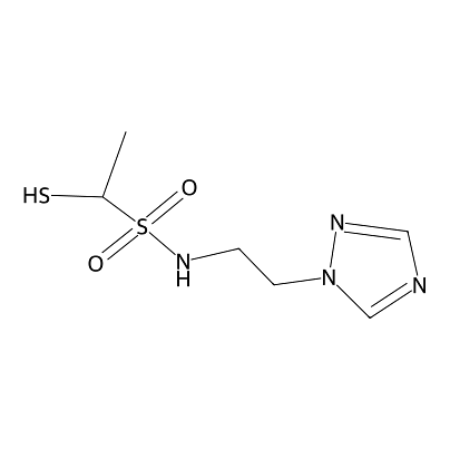 CC(S)S(=O)(=O)NCCn1cncn1